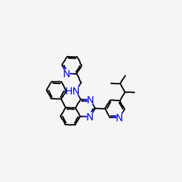 CC(C)C(C)c1cncc(-c2nc(NCc3ccccn3)c3c(-c4ccccc4)cccc3n2)c1